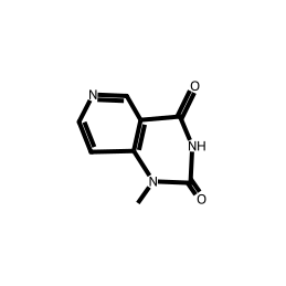 Cn1c(=O)[nH]c(=O)c2cnccc21